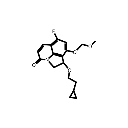 COCOc1cc(F)c2ccc(=O)n3c2c1C(OCCC1CC1)C3